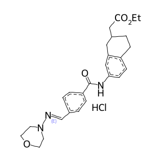 CCOC(=O)CC1CCc2ccc(NC(=O)c3ccc(/C=N/N4CCOCC4)cc3)cc2C1.Cl